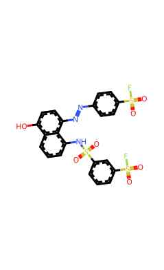 O=S(=O)(F)c1ccc(N=Nc2ccc(O)c3cccc(NS(=O)(=O)c4cccc(S(=O)(=O)F)c4)c23)cc1